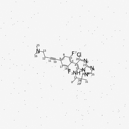 CC(Nc1c(-c2c(F)cc(C#CCCN(C)C)cc2F)c(Cl)nc2ncnn12)C(C)(C)C